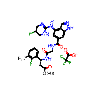 COC(=O)C[C@H](NC(=O)CNC(=O)c1cc(NC2=NCC(F)CN2)c2cn[nH]c2c1)c1cccc(C(F)(F)F)c1F.O=C(O)C(F)(F)F